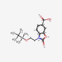 CC(C)(C)[Si](C)(C)OCCn1c(=O)oc2cc(C(=O)O)ccc21